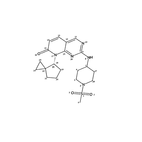 CS(=O)(=O)N1CCC(Nc2ncc3ccc(=O)n([C@@H]4CCCC45CC5)c3n2)CC1